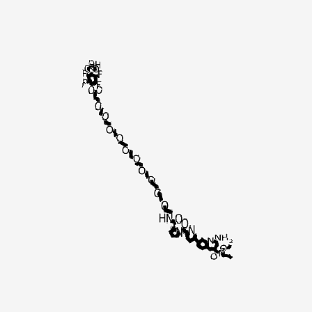 CCCN(OCC)C(=O)C1=Cc2ccc(-c3ccc(C(=O)N4CCC[C@H]4C(=O)NCCOCCOCCOCCOCCOCCOCCOCCOCCOCCOCCC(=O)Oc4c(F)c(F)c(S(=O)(=O)O)c(F)c4F)nc3)cc2N=C(N)C1